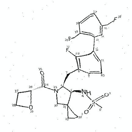 CS(=O)(=O)N[C@@H]1[C@H](Cc2cccc(-c3cc(F)ccc3F)c2F)N(C(=O)[C@H]2CCO2)CC12CC2